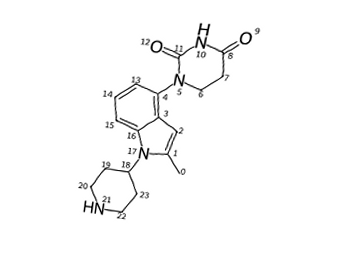 Cc1cc2c(N3CCC(=O)NC3=O)cccc2n1C1CCNCC1